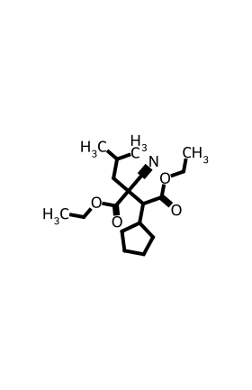 CCOC(=O)C(C1CCCC1)C(C#N)(CC(C)C)C(=O)OCC